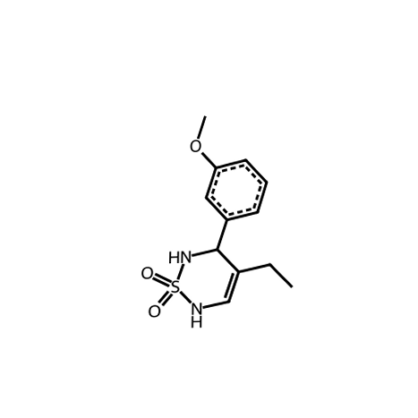 CCC1=CNS(=O)(=O)NC1c1cccc(OC)c1